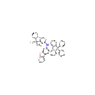 CC1(C)c2ccccc2-c2ccc(N(c3ccc4c(c3)oc3ccccc34)c3cccc4c3-c3ccccc3C43c4ccccc4-c4ccccc43)cc21